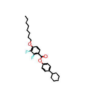 CCCCCCCCOc1ccc(C(=O)Oc2ccc([C]3CCCCC3)cc2)c(F)c1F